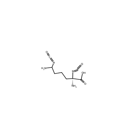 NC(CCC[C@@](N)(N=C=O)C(=O)O)N=C=O